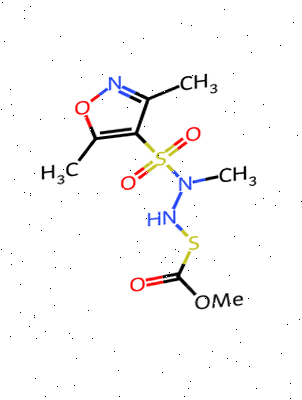 COC(=O)SNN(C)S(=O)(=O)c1c(C)noc1C